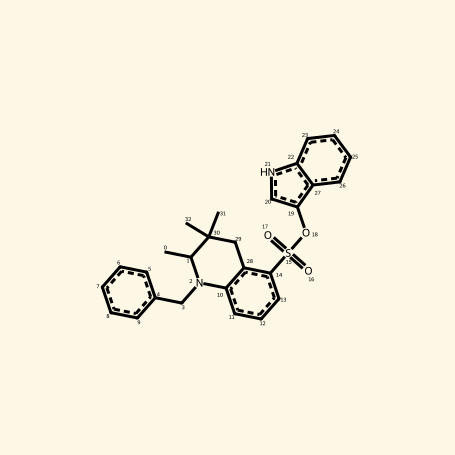 CC1N(Cc2ccccc2)c2cccc(S(=O)(=O)Oc3c[nH]c4ccccc34)c2CC1(C)C